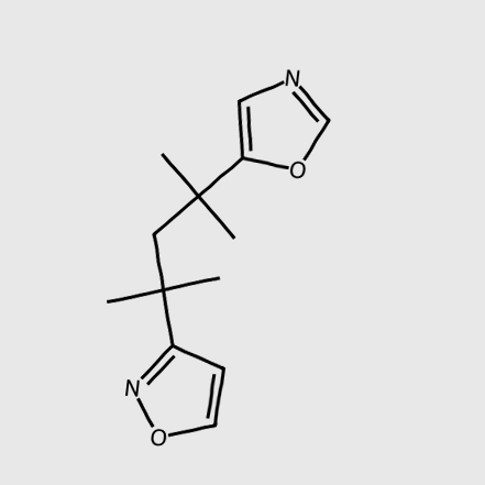 CC(C)(CC(C)(C)c1cnco1)c1ccon1